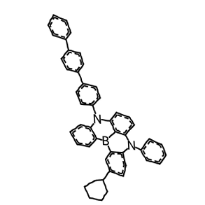 c1ccc(-c2ccc(-c3ccc(N4c5ccccc5B5c6cc(C7CCCCC7)ccc6N(c6ccccc6)c6cccc4c65)cc3)cc2)cc1